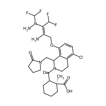 C[C@]1(C(=O)O)CCCCC1C(=O)N1CCc2c(Cl)ccc(OC/C(N)=C(\C(F)F)N(N)C(F)F)c2C1CN1CCCC1=O